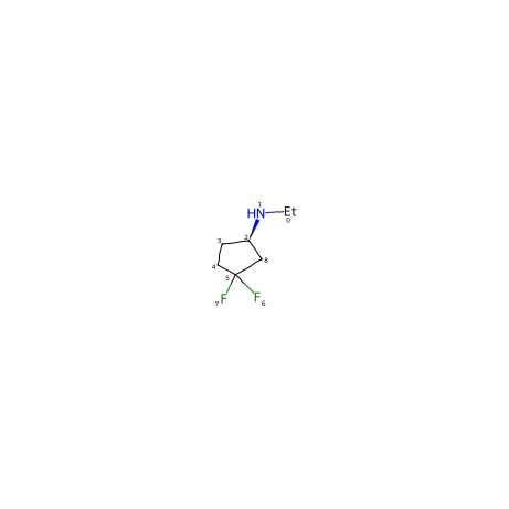 CCN[C@@H]1CCC(F)(F)C1